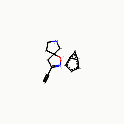 C#CC1=NOC2(CCNC2)C1.c1cc2cc-2c1